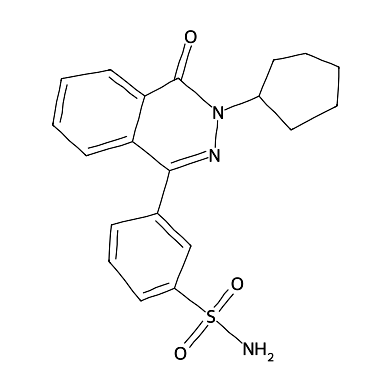 NS(=O)(=O)c1cccc(-c2nn(C3CCCCC3)c(=O)c3ccccc23)c1